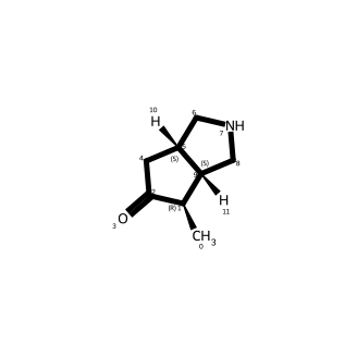 C[C@H]1C(=O)C[C@@H]2CNC[C@@H]21